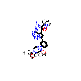 CC(=O)N1CCN(c2cccc(-c3cc(-c4cc(C)no4)c4c(N)ncnn34)c2)C(=O)C1(C)C